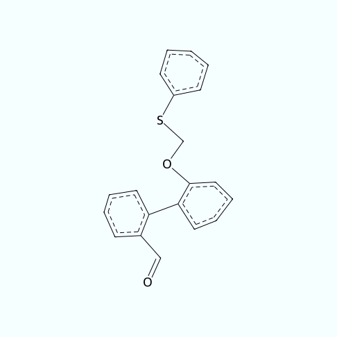 O=Cc1ccccc1-c1ccccc1OCSc1ccccc1